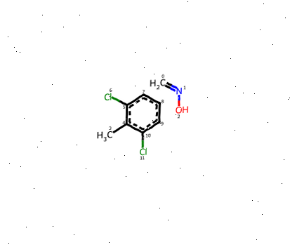 C=NO.Cc1c(Cl)cccc1Cl